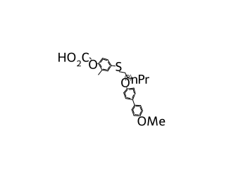 CCC[C@H](CCSc1ccc(OCC(=O)O)c(C)c1)Oc1ccc(-c2ccc(OC)cc2)cc1